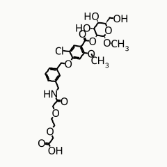 COc1cc(OCc2cccc(CNC(=O)COCCOCC(=O)O)c2)c(Cl)cc1C(=O)O[C@H]1[C@@H](OC)O[C@H](CO)[C@@H](O)[C@@H]1O